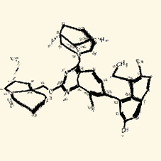 CCc1c(F)ccc2cc(O)cc(-c3ccc4c(N5C[C@H]6CC[C@@H](C5)C6F)nc(OC[C@@]56CCCN5C[C@H](F)C6)nc4c3F)c12